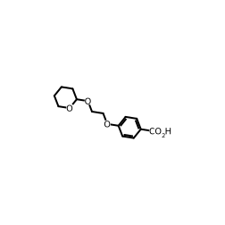 O=C(O)c1ccc(OCCOC2CCCCO2)cc1